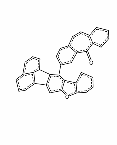 O=c1c2ccccc2ccc2ccc(-c3c4c(cc5oc6ccccc6c35)-c3cccc5cccc-4c35)cc12